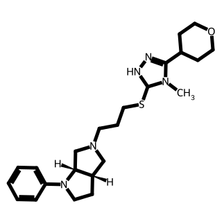 CN1C(C2CCOCC2)=NNC1SCCCN1C[C@@H]2CCN(c3ccccc3)[C@@H]2C1